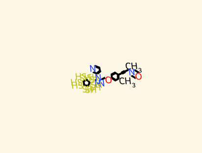 Cc1cc(OCc2nnc(SC3(S)C(S)(S)C(S)(S)C(S)(S)C3(S)S)n2-c2cccnc2)ccc1C#CC(C)N1CCOCC1